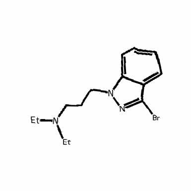 CCN(CC)CCCn1nc(Br)c2ccccc21